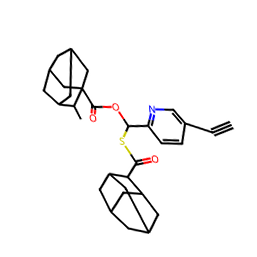 C#Cc1ccc(C(OC(=O)C23CC4CC(CC(C4)C2C)C3)SC(=O)C2C3CC4CC(C3)CC2C4)nc1